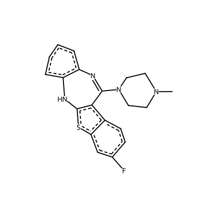 CN1CCN(C2=Nc3ccccc3Nc3sc4cc(F)ccc4c32)CC1